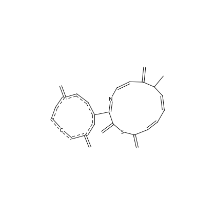 C=C1/C=C\C=C/C(C)C(=C)/C=C\N=C(\c2ccc(=C)ccccc(=C)c2)C(=C)S1